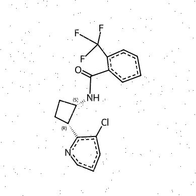 O=C(N[C@H]1CC[C@H]1c1ncccc1Cl)c1ccccc1C(F)(F)F